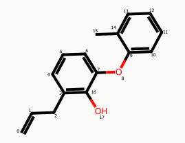 C=CCc1cccc(Oc2ccccc2C)c1O